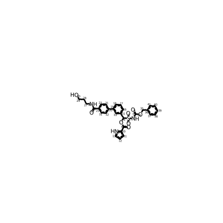 O=C(NS(=O)(=O)C(OC(=O)c1ccc[nH]1)c1cccc(-c2ccc(C(=O)NCCCO)cc2)c1)OCc1ccccc1